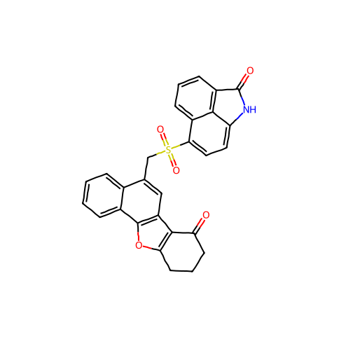 O=C1CCCc2oc3c(cc(CS(=O)(=O)c4ccc5c6c(cccc46)C(=O)N5)c4ccccc43)c21